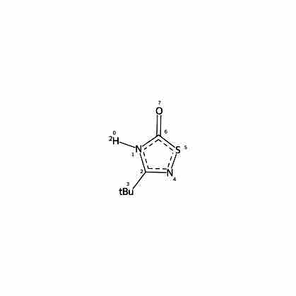 [2H]n1c(C(C)(C)C)nsc1=O